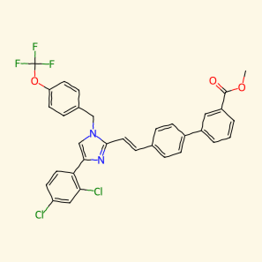 COC(=O)c1cccc(-c2ccc(C=Cc3nc(-c4ccc(Cl)cc4Cl)cn3Cc3ccc(OC(F)(F)F)cc3)cc2)c1